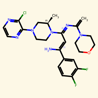 C=C(/N=C(\C=C(/N)c1ccc(F)c(F)c1)N1CCN(c2nccnc2Cl)C[C@H]1C)N1CCOCC1